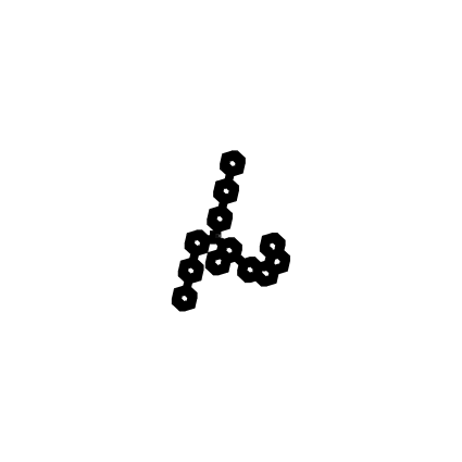 c1ccc(-c2ccc(-c3ccc(N(c4cccc(-c5ccc(-c6ccccc6)cc5)c4)c4ccc(-c5ccc6ccc7ccc8ccccc8c7c6c5)c5ccccc45)cc3)cc2)cc1